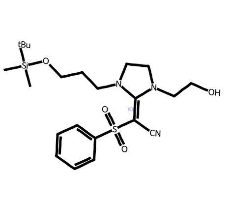 CC(C)(C)[Si](C)(C)OCCCN1CCN(CCO)/C1=C(\C#N)S(=O)(=O)c1ccccc1